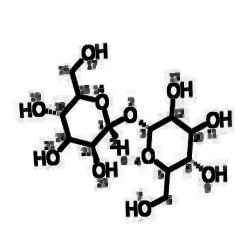 [2H][C@]1(O[C@H]2OC(CO)[C@@H](O)C(O)C2O)OC(CO)[C@@H](O)C(O)[C@@H]1O